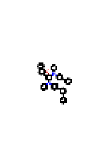 c1ccc(-c2ccc(N(c3ccccc3)c3cc(N(c4ccccc4)c4ccc(-c5cccc(-c6ccccc6)c5)cc4)cc4c3oc3c5ccccc5ccc43)cc2)cc1